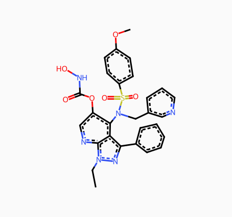 CCn1nc(-c2ccccc2)c2c(N(Cc3cccnc3)S(=O)(=O)c3ccc(OC)cc3)c(OC(=O)NO)cnc21